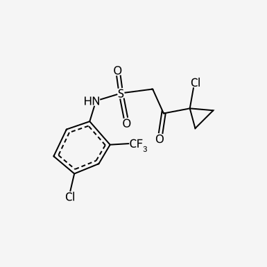 O=C(CS(=O)(=O)Nc1ccc(Cl)cc1C(F)(F)F)C1(Cl)CC1